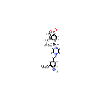 COc1cc(CCN2CCN(CC(OC)c3ccc4c(c3C)COC4=O)CC2)ccc1N